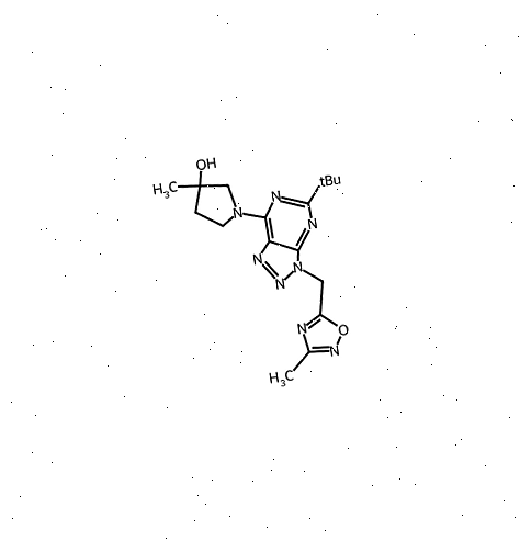 Cc1noc(Cn2nnc3c(N4CCC(C)(O)C4)nc(C(C)(C)C)nc32)n1